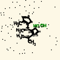 Cl.Cl.[CH2]=[Ti]([C]1=C(C)C=CC1)[C]1=C(C(C)C)C=CC1